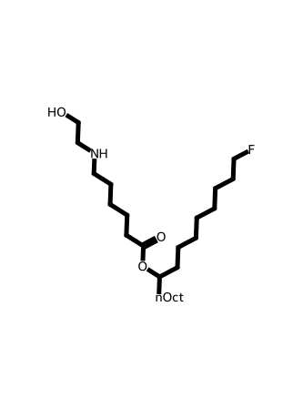 CCCCCCCCC(CCCCCCCCF)OC(=O)CCCCCNCCO